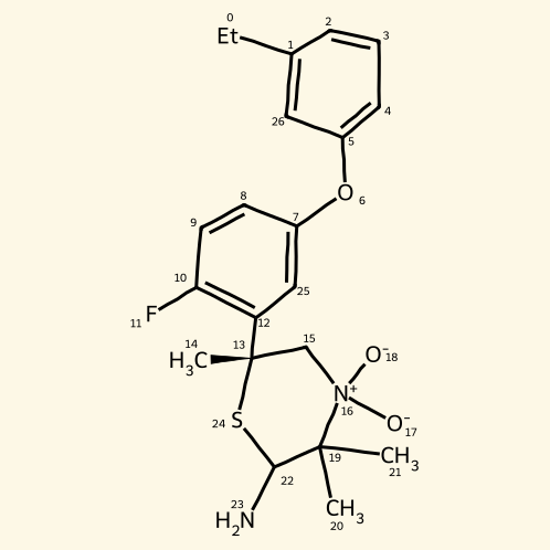 CCc1cccc(Oc2ccc(F)c([C@]3(C)C[N+]([O-])([O-])C(C)(C)C(N)S3)c2)c1